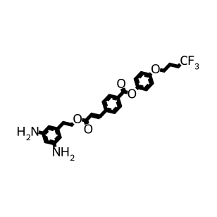 Nc1cc(N)cc(CCOC(=O)/C=C/c2ccc(C(=O)Oc3ccc(OCCCC(F)(F)F)cc3)cc2)c1